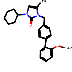 CCCCc1cn(C2CCCCC2)c(=O)n1Cc1ccc(-c2ccccc2OC(=O)O)cc1